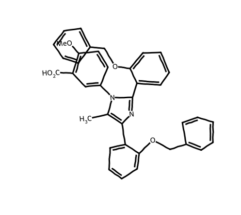 COc1ccc(-n2c(-c3ccccc3OCc3ccccc3)nc(-c3ccccc3OCc3ccccc3)c2C)cc1C(=O)O